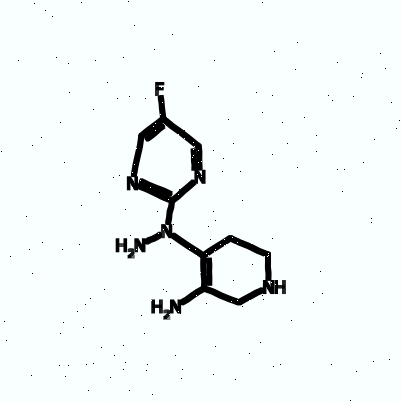 NC1=C(N(N)c2ncc(F)cn2)CCNC1